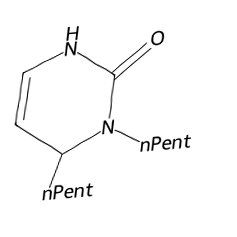 CCCCCC1C=CNC(=O)N1CCCCC